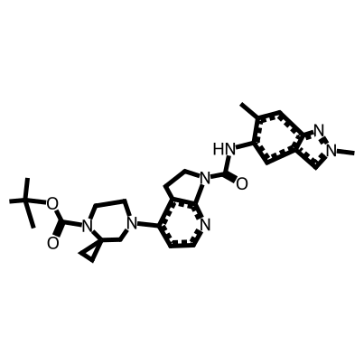 Cc1cc2nn(C)cc2cc1NC(=O)N1CCc2c(N3CCN(C(=O)OC(C)(C)C)C4(CC4)C3)ccnc21